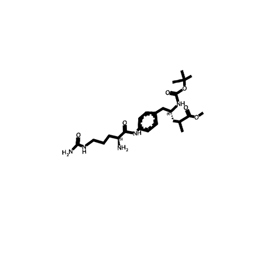 COC(=O)C(C)C[C@H](Cc1ccc(NC(=O)[C@@H](N)CCCNC(N)=O)cc1)NC(=O)OC(C)(C)C